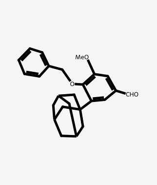 COc1cc(C=O)cc(C23CC4CC(CC(C4)C2)C3)c1OCc1ccccc1